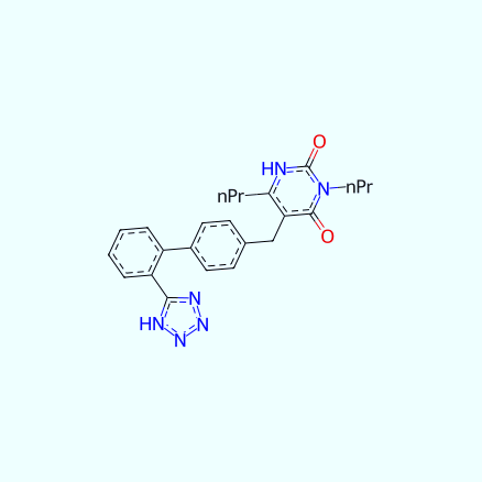 CCCc1[nH]c(=O)n(CCC)c(=O)c1Cc1ccc(-c2ccccc2-c2nnn[nH]2)cc1